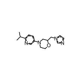 CC(C)c1ccc(N2CCOC(Cn3ccnc3)C2)cn1